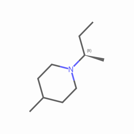 CC[C@@H](C)N1CCC(C)CC1